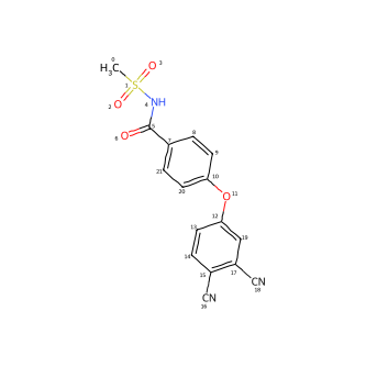 CS(=O)(=O)NC(=O)c1ccc(Oc2ccc(C#N)c(C#N)c2)cc1